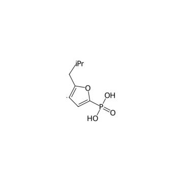 CC(C)Cc1[c]cc(P(=O)(O)O)o1